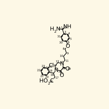 N=C(N)c1ccc(OCCCCN2CCN(C(CC(=O)O)c3ccccc3Cl)C(=O)C2=O)cc1